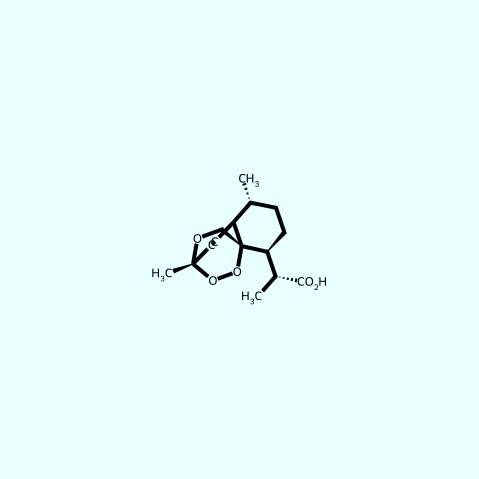 C[C@@H]1CC[C@@H]([C@@H](C)C(=O)O)[C@@]23CO[C@](C)(CCC12)OO3